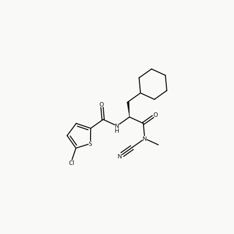 CN(C#N)C(=O)[C@H](CC1CCCCC1)NC(=O)c1ccc(Cl)s1